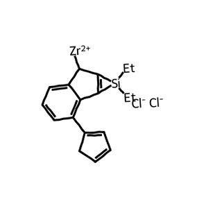 CC[Si]1(CC)C2=C1[CH]([Zr+2])c1cccc(C3=CC=CC3)c12.[Cl-].[Cl-]